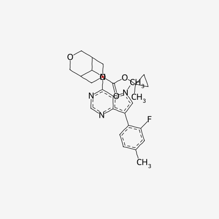 Cc1ccc(-c2cn(C)c3c(OC4C5COCC4CN(C(=O)OC4(C)CC4)C5)ncnc23)c(F)c1